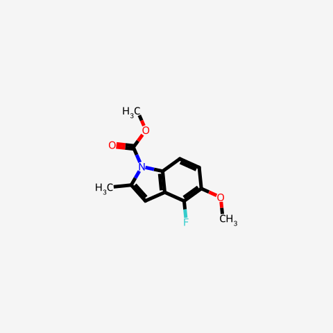 COC(=O)n1c(C)cc2c(F)c(OC)ccc21